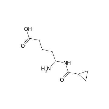 NC(CCCC(=O)O)NC(=O)C1CC1